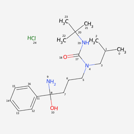 CC(C)CN(CCCC(N)(O)c1ccccc1)C(=O)NC(C)(C)C.Cl